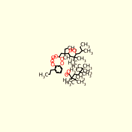 CC(C)(C)C(C)(C)CCC(C)(C1OO1)C(C)(C)C.CCCc1cccc2c1OOOOC(CC(C)(CC)C1CC(C)(CC)C(CC(C)CC)OO1)OO2